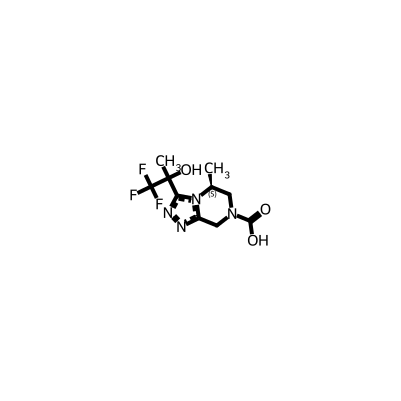 C[C@H]1CN(C(=O)O)Cc2nnc(C(C)(O)C(F)(F)F)n21